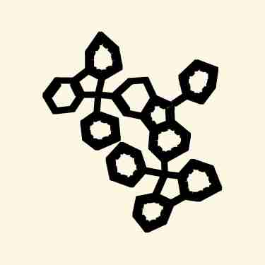 C1=CC2=C(CC1)C(C1=Cc3c(n(-c4ccccc4)c4ccc(C5(c6ccccc6)c6ccccc6-c6ccccc65)cc34)CC1)(c1ccccc1)c1ccccc12